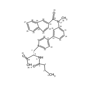 CCCC(=O)N[C@@H](Cc1ccc(-c2cccc(N(C)C(=O)c3ccc4ccccc4c3)c2)cc1)C(=O)O